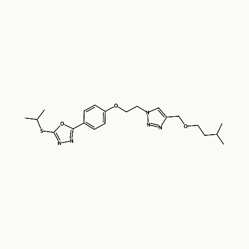 CC(C)CCOCc1cn(CCOc2ccc(-c3nnc(SC(C)C)o3)cc2)nn1